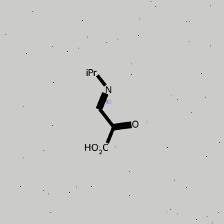 CC(C)/N=C/C(=O)C(=O)O